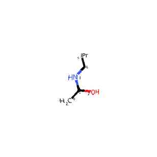 [CH2]C(O)NCC(C)C